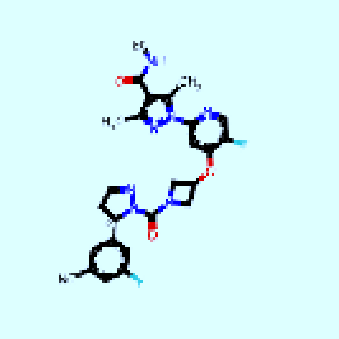 CCNC(=O)c1c(C)nn(-c2cc(OC3CN(C(=O)N4N=CC[C@H]4c4cc(F)cc(C#N)c4)C3)c(F)cn2)c1C